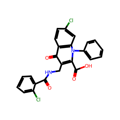 O=C(NCc1c(C(=O)O)n(-c2ccccc2)c2cc(Cl)ccc2c1=O)c1ccccc1Cl